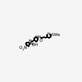 CSc1ccc(/C=C/C(=O)Nc2ccc(-c3nc4ccc([N+](=O)[O-])cc4n3O)cc2)cn1